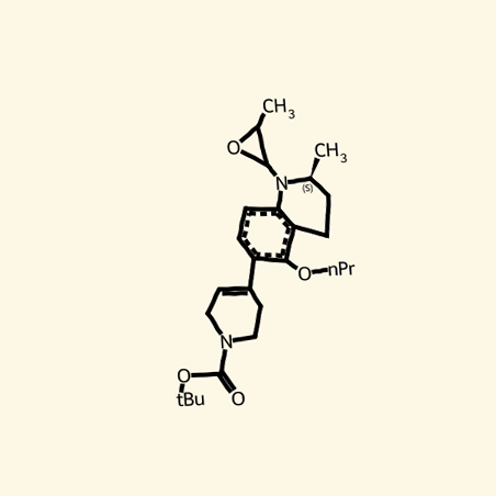 CCCOc1c(C2=CCN(C(=O)OC(C)(C)C)CC2)ccc2c1CC[C@H](C)N2C1OC1C